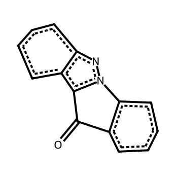 O=C1c2ccccc2-n2nc3ccccc3c21